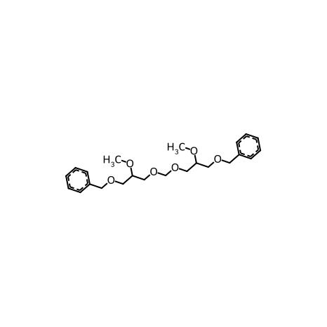 COC(COCOCC(COCc1ccccc1)OC)COCc1ccccc1